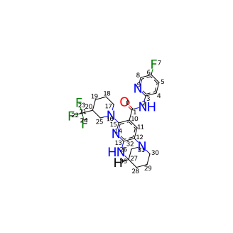 O=C(Nc1ccc(F)cn1)c1cc2c(nc1N1CCCC(C(F)(F)F)C1)N[C@H]1CCCN2C1